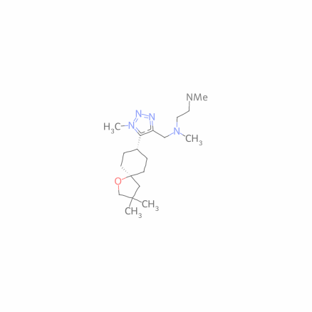 CNCCN(C)Cc1nnn(C)c1[C@H]1CC[C@]2(CC1)CC(C)(C)CO2